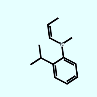 C/C=C\N(C)c1ccccc1C(C)C